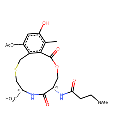 CNCCC(=O)N[C@H]1COC(=O)c2c(C)c(O)cc(OC(C)=O)c2CSC[C@@H](C(=O)O)NC1=O